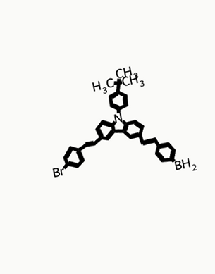 Bc1ccc(/C=C/c2ccc3c(c2)c2cc(/C=C/c4ccc(Br)cc4)ccc2n3-c2ccc(C(C)(C)C)cc2)cc1